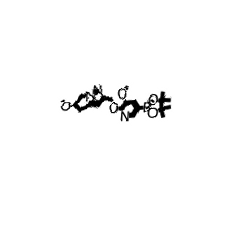 COc1cc(B2OC(C)(C)C(C)(C)O2)cnc1OCc1cc2n(n1)C[C@H](OC)C2